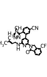 CC(C)=CCNc1cc(-c2cc(C#N)ccc2-c2nncn2C)cc(N2Cc3c(cccc3C(F)(F)F)C2=O)n1